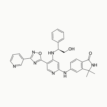 CC1(C)NC(=O)c2ccc(Nc3cc(N[C@H](CO)c4ccccc4)c(-c4nc(-c5cccnc5)no4)cn3)cc21